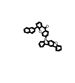 O=c1c2ccc(-n3c4ccccc4c4cc5c(cc43)oc3ccccc35)cc2oc2c(-c3ccc4ccccc4c3)cccc12